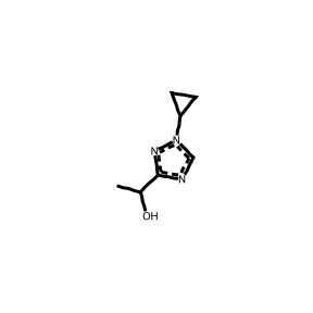 CC(O)c1ncn(C2CC2)n1